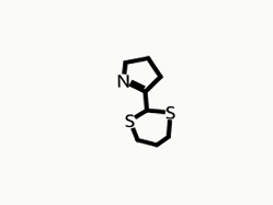 C1CSC(C2=NCCC2)SC1